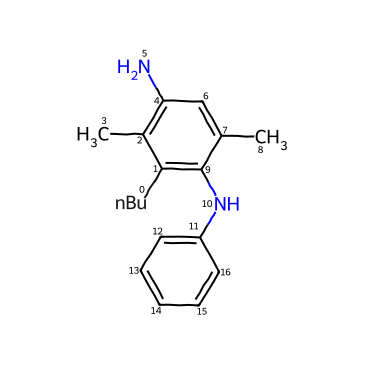 CCCCc1c(C)c(N)cc(C)c1Nc1ccccc1